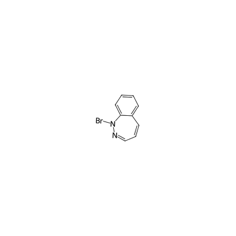 BrN1N=CC=Cc2ccccc21